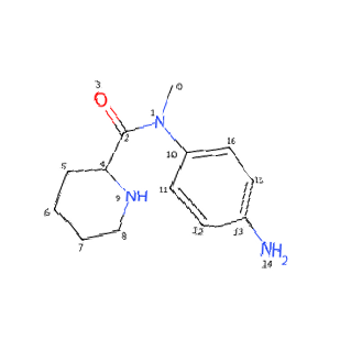 CN(C(=O)C1CCCCN1)c1ccc(N)cc1